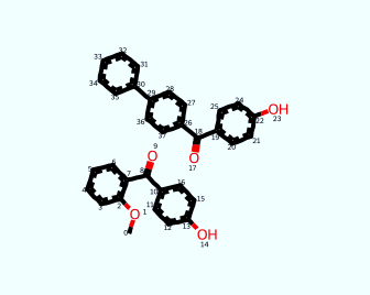 COc1ccccc1C(=O)c1ccc(O)cc1.O=C(c1ccc(O)cc1)c1ccc(-c2ccccc2)cc1